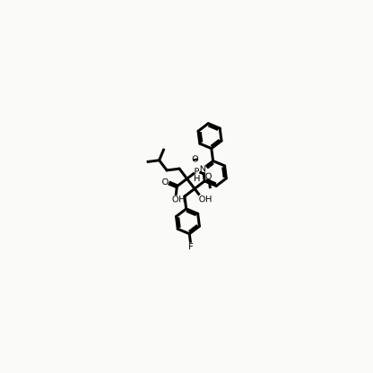 CO[PH](=O)C(CCC(C)C)(C(=O)O)C(O)(Cc1ccc(F)cc1)c1cccc(-c2ccccc2)n1